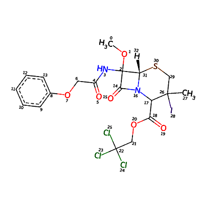 COC1(NC(=O)COc2ccccc2)C(=O)N2C(C(=O)OCC(Cl)(Cl)Cl)C(C)(I)CS[C@H]21